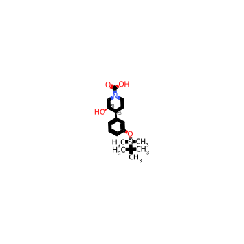 CC(C)(C)[Si](C)(C)Oc1cccc([C@@H]2CCN(C(=O)O)C[C@H]2O)c1